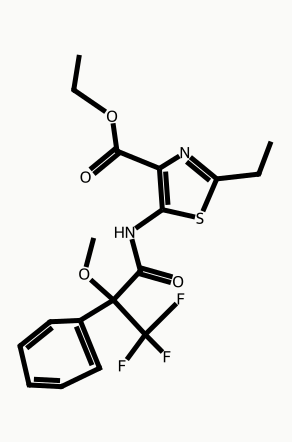 CCOC(=O)c1nc(CC)sc1NC(=O)C(OC)(c1ccccc1)C(F)(F)F